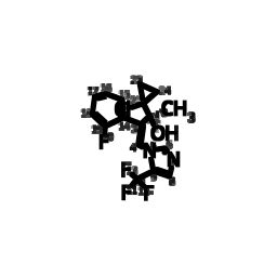 C[C@](O)(C(=Cn1cncc1C(F)(F)F)c1ccccc1F)C1(Cl)CC1